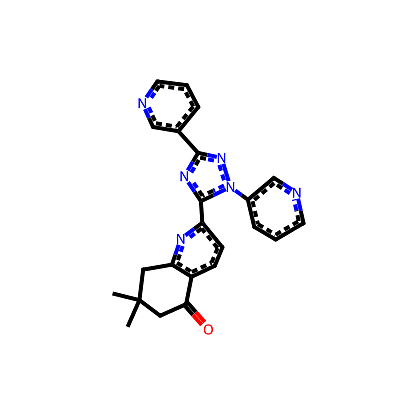 CC1(C)CC(=O)c2ccc(-c3nc(-c4cccnc4)nn3-c3cccnc3)nc2C1